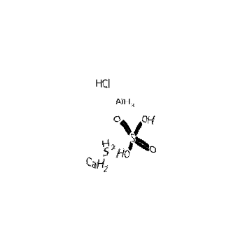 Cl.O=S(=O)(O)O.S.[AlH3].[CaH2]